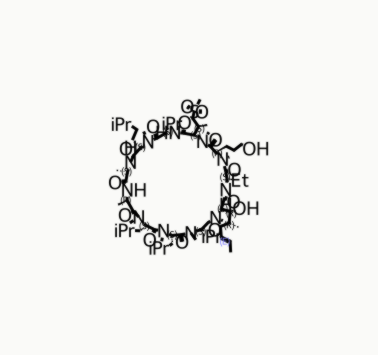 C/C=C/C[C@@H](C)[C@@H](O)[C@H]1C(=O)N[C@@H](CC)C(=O)N(C)[C@H](CCCO)C(=O)N(C)[C@@H]([C@H](C)CS(C)(=O)=O)C(=O)N[C@@H](C(C)C)C(=O)N(C)[C@@H](CCC(C)C)C(=O)N[C@@H](C)C(=O)N[C@H](C)C(=O)N(C)[C@@H](CC(C)C)C(=O)N(C)[C@@H](CC(C)C)C(=O)N(C)[C@@H](C(C)C)C(=O)N1C